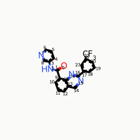 O=C(Nc1cccnc1)c1cccc2cnc(-c3cccc(C(F)(F)F)c3)nc12